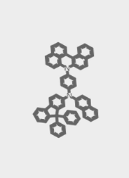 c1ccc(C2(c3ccccc3)c3ccccc3-c3ccc(N(c4ccc(N5c6ccc7ccccc7c6-c6cccc7cccc5c67)cc4)c4ccc5ccccc5c4)cc32)cc1